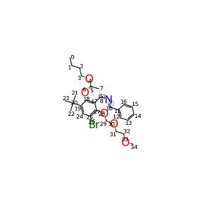 CCCCOC(=O)C[C@H](/N=C/c1ccccc1)c1cc(C(C)(C)C)cc(Br)c1OCOCCOC